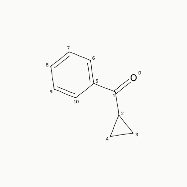 O=C([C]1CC1)c1ccccc1